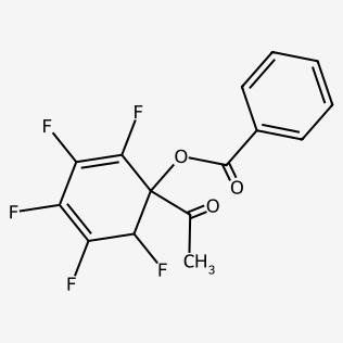 CC(=O)C1(OC(=O)c2ccccc2)C(F)=C(F)C(F)=C(F)C1F